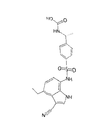 CCc1ccc(NS(=O)(=O)c2ccc([C@@H](C)NC(=O)O)cc2)c2[nH]cc(C#N)c12